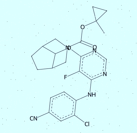 [C-]#[N+]c1ccc(Nc2ncnc(OC3C4CCC3CN(C(=O)OC3(C)CC3)C4)c2F)c(Cl)c1